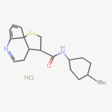 CC(C)(C)C1CCC(NC(=O)C2CSC34CC=CC=C3N=CCC24)CC1.Cl